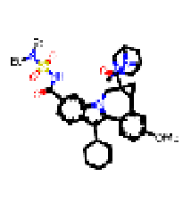 CCN(CC)S(=O)(=O)NC(=O)c1ccc2c(C3CCCCC3)c3n(c2c1)CC1(C(=O)N2C4CC2CN(C)C4)CC1c1cc(OC)ccc1-3